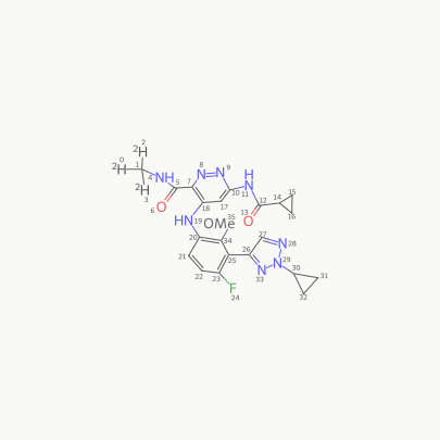 [2H]C([2H])([2H])NC(=O)c1nnc(NC(=O)C2CC2)cc1Nc1ccc(F)c(-c2cnn(C3CC3)n2)c1OC